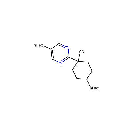 CCCCCCc1cnc(C2(C#N)CCC(CCCCCC)CC2)nc1